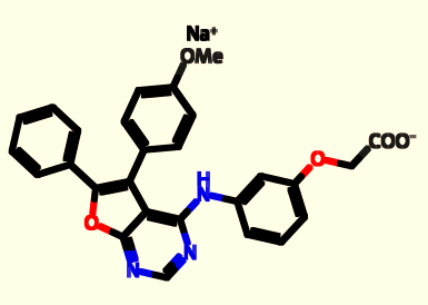 COc1ccc(-c2c(-c3ccccc3)oc3ncnc(Nc4cccc(OCC(=O)[O-])c4)c23)cc1.[Na+]